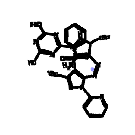 CC(C)(C)c1nn(-c2ccccn2)c(/N=N\C2=C(N)N(c3nc(O)nc(O)n3)NC2C(C)(C)C)c1S(=O)(=O)c1ccccc1